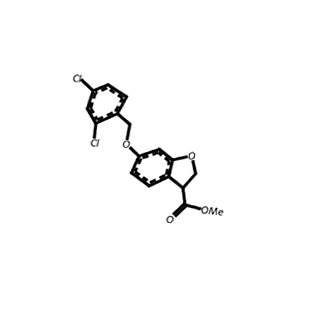 COC(=O)C1COc2cc(OCc3ccc(Cl)cc3Cl)ccc21